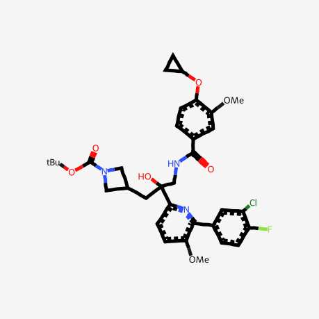 COc1cc(C(=O)NCC(O)(CC2CN(C(=O)OC(C)(C)C)C2)c2ccc(OC)c(-c3ccc(F)c(Cl)c3)n2)ccc1OC1CC1